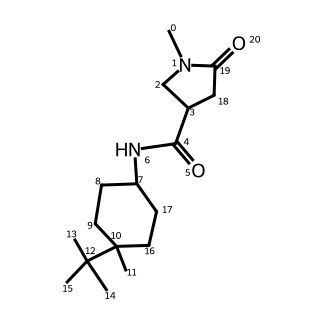 CN1CC(C(=O)NC2CCC(C)(C(C)(C)C)CC2)CC1=O